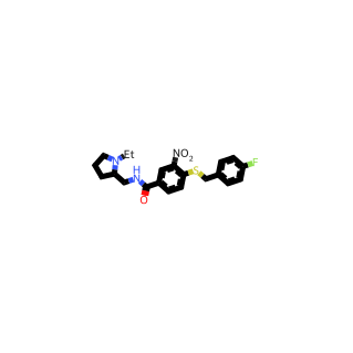 CCN1CCCC1CNC(=O)c1ccc(SCc2ccc(F)cc2)c([N+](=O)[O-])c1